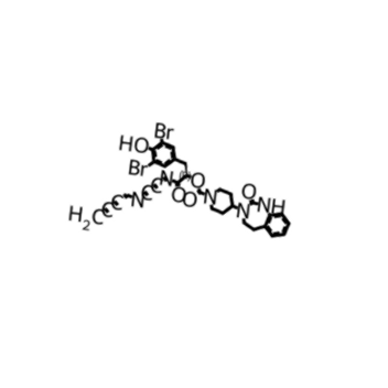 C=C=C=CN=C=C=NC(=O)[C@@H](Cc1cc(Br)c(O)c(Br)c1)OC(=O)N1CCC(N2CCc3ccccc3NC2=O)CC1